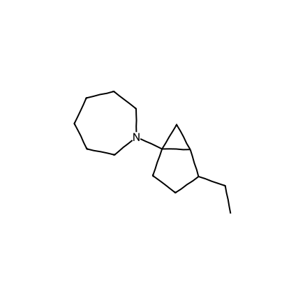 CCC1CCC2(N3CCCCCC3)CC12